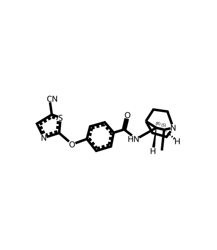 C[C@H]1[C@H](NC(=O)c2ccc(Oc3ncc(C#N)s3)cc2)C2CCN1CC2